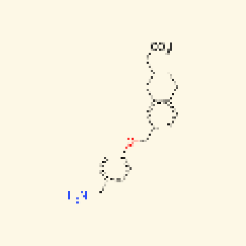 NCc1ccc(OCc2ccc3c(c2)CC(CC(=O)O)CC3)cc1